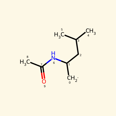 [CH2]C(CC(C)C)NC(C)=O